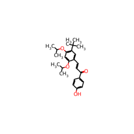 CC(C)Oc1cc(OC(C)C)c(C(C)(C)C)cc1/C=C/C(=O)c1ccc(O)cc1